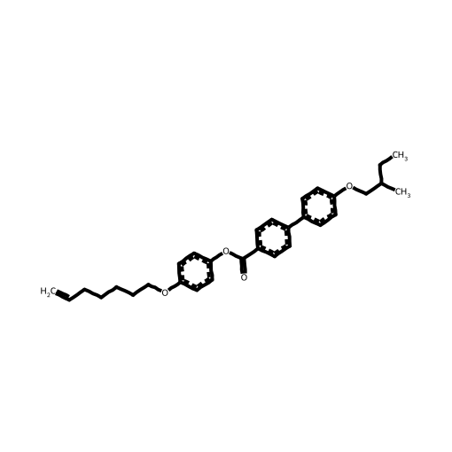 C=CCCCCCOc1ccc(OC(=O)c2ccc(-c3ccc(OCC(C)CC)cc3)cc2)cc1